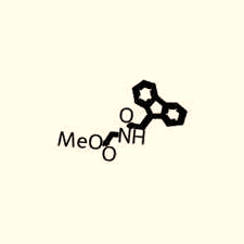 COC(=O)CNC(=O)C=C1c2ccccc2-c2ccccc21